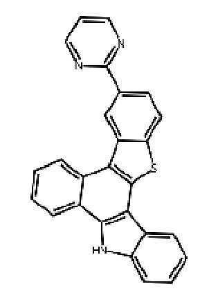 c1cnc(-c2ccc3sc4c(c3c2)c2ccccc2c2[nH]c3ccccc3c24)nc1